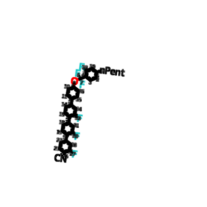 CCCCCc1ccc(C(F)(F)Oc2ccc(-c3ccc(-c4ccc(-c5ccc(C#N)c(F)c5)c(F)c4)c(F)c3)cc2)c(F)c1